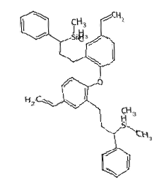 C=Cc1ccc(Oc2ccc(C=C)cc2CCC(c2ccccc2)[SiH](C)C)c(CCC(c2ccccc2)[SiH](C)C)c1